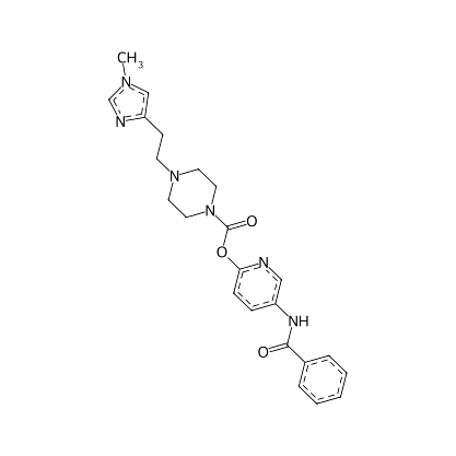 Cn1cnc(CCN2CCN(C(=O)Oc3ccc(NC(=O)c4ccccc4)cn3)CC2)c1